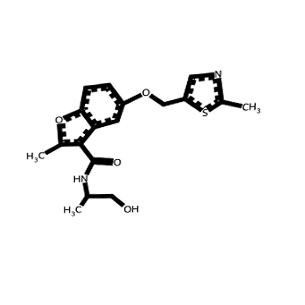 Cc1ncc(COc2ccc3oc(C)c(C(=O)NC(C)CO)c3c2)s1